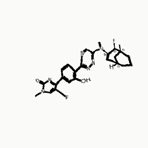 CN(c1cnc(-c2ccc(-c3nc(=O)n(C)cc3F)cc2O)nn1)[C@@H]1C[C@H]2CCC[C@](C)(C2)[C@@H]1F